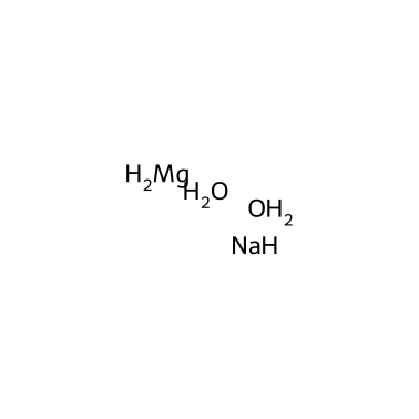 O.O.[MgH2].[NaH]